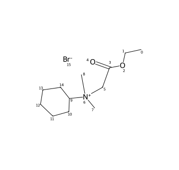 CCOC(=O)C[N+](C)(C)C1CCCCC1.[Br-]